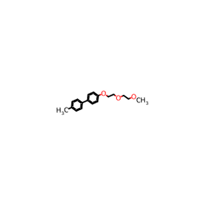 COCCOCCOc1ccc(-c2ccc(C)cc2)cc1